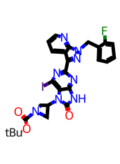 CC(C)(C)OC(=O)N1CC(n2c(=O)[nH]c3nc(-c4nn(Cc5ccccc5F)c5ncccc45)nc(I)c32)C1